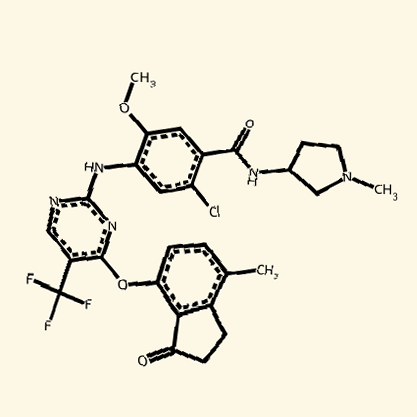 COc1cc(C(=O)NC2CCN(C)C2)c(Cl)cc1Nc1ncc(C(F)(F)F)c(Oc2ccc(C)c3c2C(=O)CC3)n1